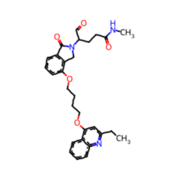 CCc1cc(OCCCCOc2cccc3c2CN(C(C=O)CCC(=O)NC)C3=O)c2ccccc2n1